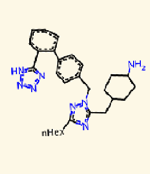 CCCCCCc1nc(CC2CCC(N)CC2)n(Cc2ccc(-c3ccccc3-c3nnn[nH]3)cc2)n1